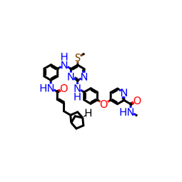 CNC(=O)c1cc(Oc2ccc(Nc3ncc(SC)c(Nc4cccc(NC(=O)/C=C/CC5C[C@H]6CCC5C6)c4)n3)cc2)ccn1